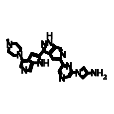 CN1CCN(c2cncc3[nH]c(-c4n[nH]c5cnc(-c6cncc(N7CC(N)C7)n6)cc45)cc23)CC1